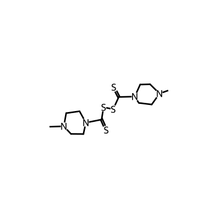 CN1CCN(C(=S)SSC(=S)N2CCN(C)CC2)CC1